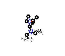 CC(C)(C)c1cccc(-c2nc(-c3cccc(C(C)(C)C)c3)nc(-c3ccc4c(c3)c3ccccc3n4-c3cccc4c5ccccc5n(-c5cccc(-c6ccccc6)c5)c34)n2)c1